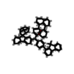 CC1(C)c2ccccc2-c2cccc(-c3ccc(N(c4ccc(-c5cccc6cccc(-c7ccccc7)c56)cc4)c4ccc5c(c4)C4(c6ccccc6-5)C5CC6CC(C5)CC4C6)cc3)c21